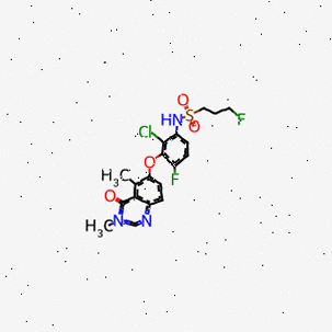 Cc1c(Oc2c(F)ccc(NS(=O)(=O)CCCF)c2Cl)ccc2ncn(C)c(=O)c12